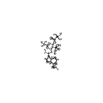 CCC(COC(C(OC(=O)C(C)(C)C)OC(=O)C(C)(C)C)P(=O)(O)O)n1cnc2c(N)ncnc21